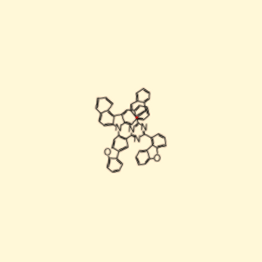 c1ccc2cc(-c3nc(-c4cc5c(cc4-n4c6cc7ccccc7cc6c6c7ccccc7ccc64)oc4ccccc45)nc(-c4cccc5oc6ccccc6c45)n3)ccc2c1